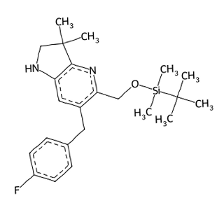 CC1(C)CNc2cc(Cc3ccc(F)cc3)c(CO[Si](C)(C)C(C)(C)C)nc21